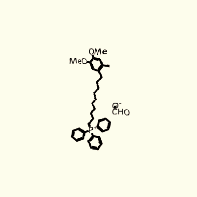 COc1cc(C)c(CCCCCCCCCC[P+](c2ccccc2)(c2ccccc2)c2ccccc2)cc1OC.O=C[O-]